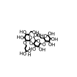 OC[C@H]1O[C@H](O[C@H]2[C@H](O)[C@@H](O)[C@@H](O[C@H]3[C@H](O)[C@@H](O)C(O)O[C@@H]3CO)O[C@@H]2CO)[C@H](OCCC(O)O)[C@@H](O)[C@@H]1O